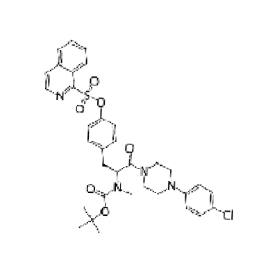 CN(C(=O)OC(C)(C)C)[C@@H](Cc1ccc(OS(=O)(=O)c2nccc3ccccc23)cc1)C(=O)N1CCN(c2ccc(Cl)cc2)CC1